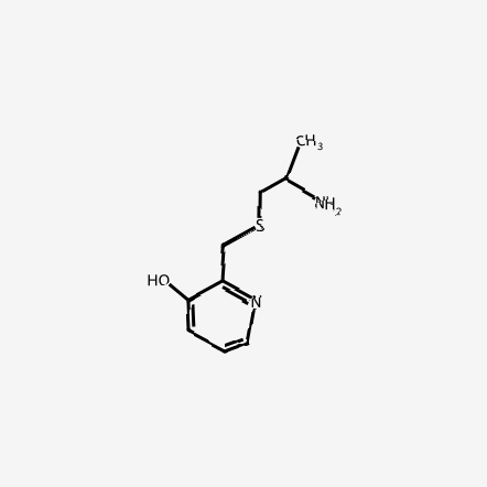 CC(N)CSCc1ncccc1O